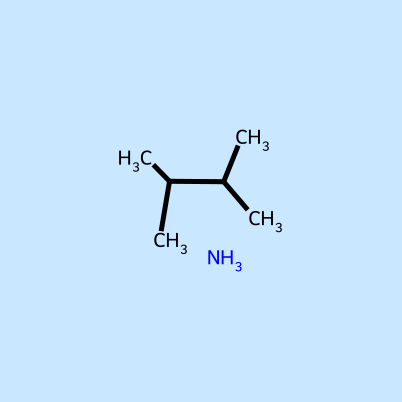 CC(C)C(C)C.N